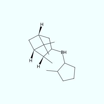 CC1CCCC1BC1C[C@H]2C[C@@H]([C@H]1C)C2(C)C